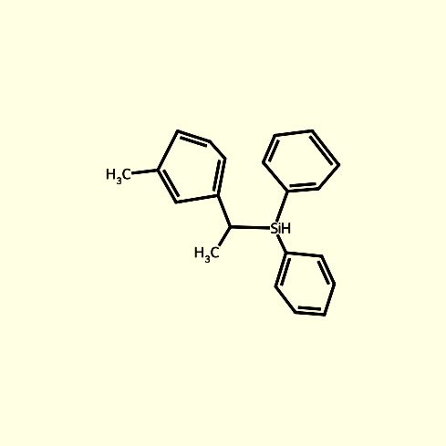 Cc1cccc(C(C)[SiH](c2ccccc2)c2ccccc2)c1